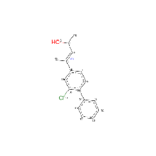 C/C(=C\C(C)O)c1ccc(-c2ccccc2)c(Cl)c1